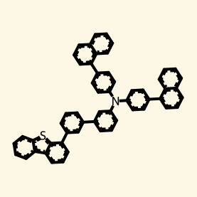 c1cc(-c2cccc(N(c3ccc(-c4cccc5ccccc45)cc3)c3ccc(-c4cccc5ccccc45)cc3)c2)cc(-c2cccc3c2sc2ccccc23)c1